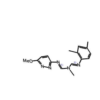 COc1ccc(/N=C/N(C)/C=N/c2ccc(C)cc2C)nn1